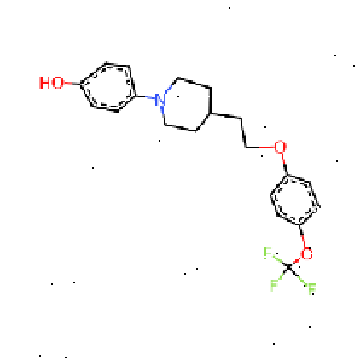 Oc1ccc(N2CCC(CCOc3ccc(OC(F)(F)F)cc3)CC2)cc1